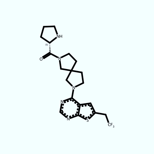 O=C([C@@H]1CCCN1)N1CCC2(CCN(c3ncnc4sc(CC(F)(F)F)cc34)C2)C1